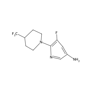 Nc1cnc(N2CCC(C(F)(F)F)CC2)c(F)c1